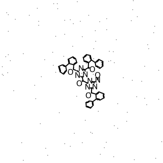 O=Nc1nc(C(=O)c2nc(C(=O)c3ccccc3-c3ccccc3)nc(C(=O)c3ccccc3-c3ccccc3)n2)nc(C(=O)c2ccccc2-c2ccccc2)n1